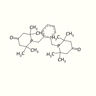 CC1(C)CC(=O)CC(C)(C)P1Cc1ccccc1CP1C(C)(C)CC(=O)CC1(C)C